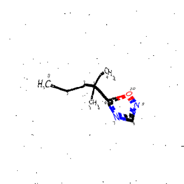 CCCC(C)(C)c1ncno1